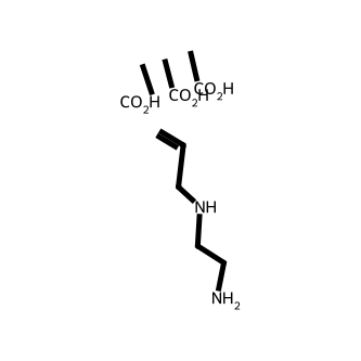 C=CCNCCN.CC(=O)O.CC(=O)O.CC(=O)O